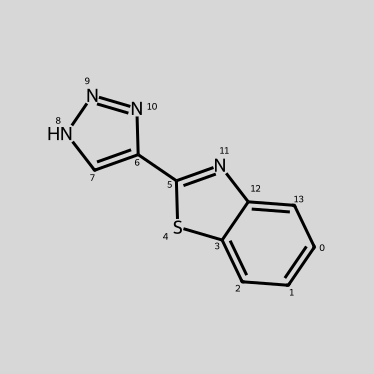 c1ccc2sc(-c3c[nH]nn3)nc2c1